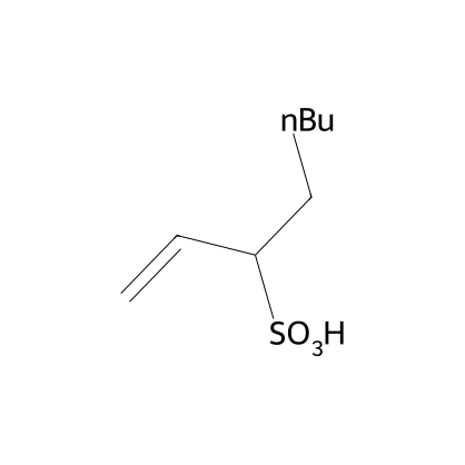 C=CC(CCCCC)S(=O)(=O)O